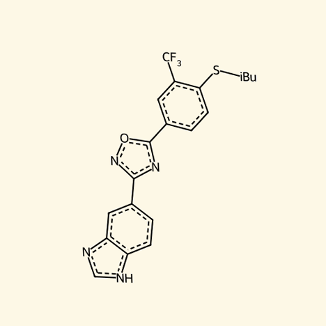 CCC(C)Sc1ccc(-c2nc(-c3ccc4[nH]cnc4c3)no2)cc1C(F)(F)F